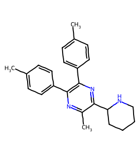 Cc1ccc(-c2nc(C)c(C3CCCCN3)nc2-c2ccc(C)cc2)cc1